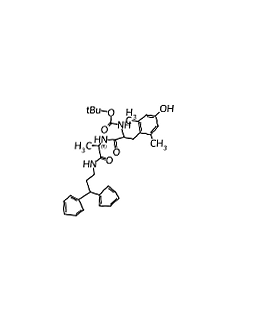 Cc1cc(O)cc(C)c1CC(NC(=O)OC(C)(C)C)C(=O)N[C@H](C)C(=O)NCCC(c1ccccc1)c1ccccc1